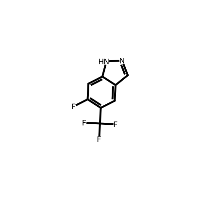 Fc1cc2[nH]ncc2cc1C(F)(F)F